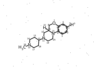 [2H]c1ccc2c(c1)OC[C@H]1CN(C3CCN(C)CC3)CCN21